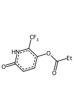 CCC(=O)Oc1ccc(=O)[nH]c1C(F)(F)F